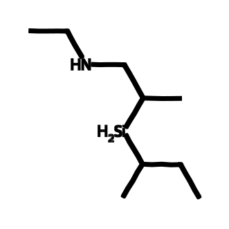 CCNCC(C)[SiH2]C(C)CC